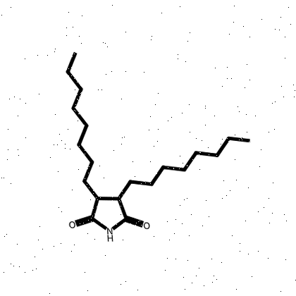 CCCCCCCCC1C(=O)NC(=O)C1CCCCCCCC